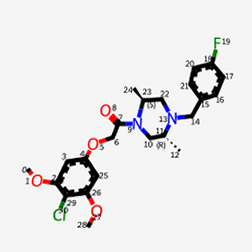 COc1cc(OCC(=O)N2C[C@@H](C)N(Cc3ccc(F)cc3)C[C@@H]2C)cc(OC)c1Cl